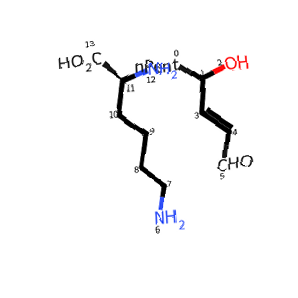 CCCCCC(O)C=CC=O.NCCCC[C@H](N)C(=O)O